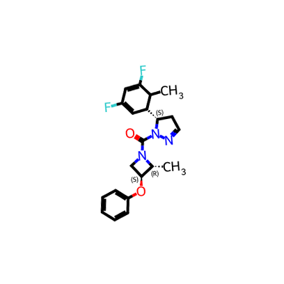 CC1C(F)=CC(F)=CC1[C@@H]1CC=NN1C(=O)N1C[C@H](Oc2ccccc2)[C@H]1C